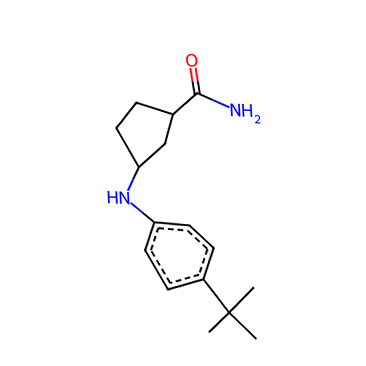 CC(C)(C)c1ccc(NC2CCC(C(N)=O)C2)cc1